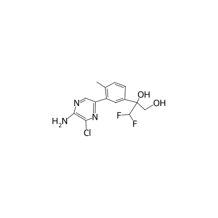 Cc1ccc(C(O)(CO)C(F)F)cc1-c1cnc(N)c(Cl)n1